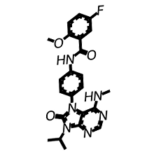 CNc1ncnc2c1n(-c1ccc(NC(=O)c3cc(F)ccc3OC)cc1)c(=O)n2C(C)C